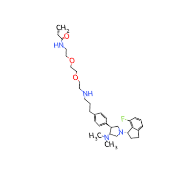 C=CC(=O)NCCOCCOCCNCCCc1ccc([C@H]2CN([C@H]3CCc4cccc(F)c43)C[C@@H]2N(C)C)cc1